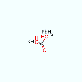 O=[Si](O)O.[KH].[PbH2]